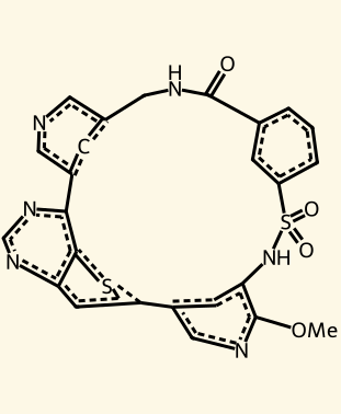 COc1ncc2cc1NS(=O)(=O)c1cccc(c1)C(=O)NCc1cncc(c1)-c1ncnc3cc-2sc13